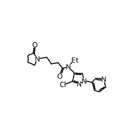 CCN(C(=O)CCCN1CCCC1=O)c1cn(-c2cccnc2)nc1Cl